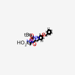 C[C@@H](NC(=O)[C@H](Cc1ccc(OCc2ccccc2)cc1)NC(=O)OC(C)(C)C)C(=O)O